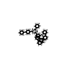 Cc1cccc2c3ccccc3n(-c3cccc4c5ccccc5n(-c5cc(-c6nc(-c7ccccc7)nc(-c7ccc(-c8ccccc8)cc7)n6)ccc5-c5ccccc5)c34)c12